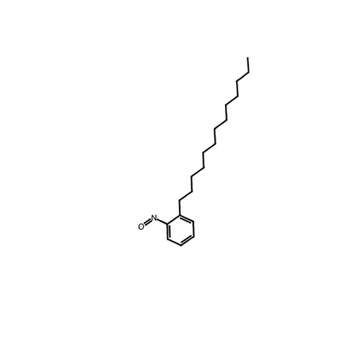 CCCCCCCCCCCCCc1ccccc1N=O